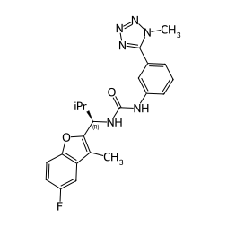 Cc1c([C@H](NC(=O)Nc2cccc(-c3nnnn3C)c2)C(C)C)oc2ccc(F)cc12